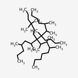 CCCCCC(C)C(C)[C](C)C(CCC(C)(C)CCC)(C(C)CC(C)CCC)C(C)(CCCC)C(C)C(C)CCCC